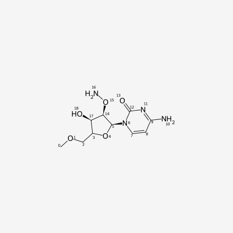 COCC1O[C@H](n2ccc(N)nc2=O)[C@H](ON)[C@@H]1O